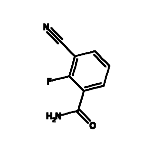 N#Cc1cccc(C(N)=O)c1F